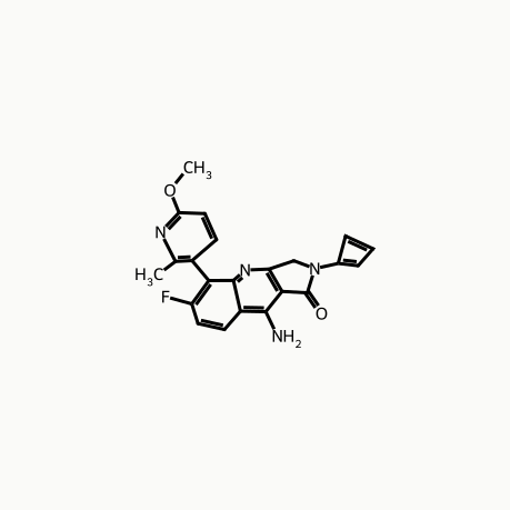 COc1ccc(-c2c(F)ccc3c(N)c4c(nc23)CN(C2=CC=C2)C4=O)c(C)n1